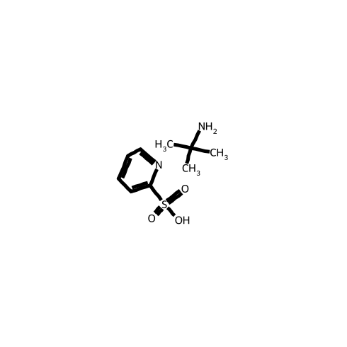 CC(C)(C)N.O=S(=O)(O)c1ccccn1